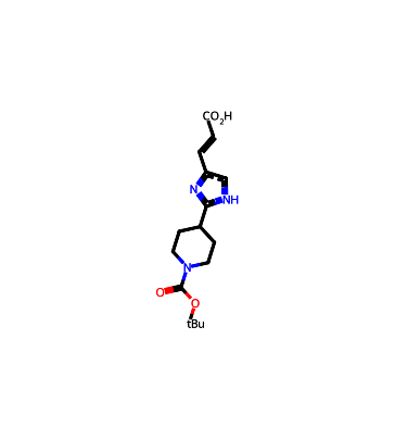 CC(C)(C)OC(=O)N1CCC(c2nc(C=CC(=O)O)c[nH]2)CC1